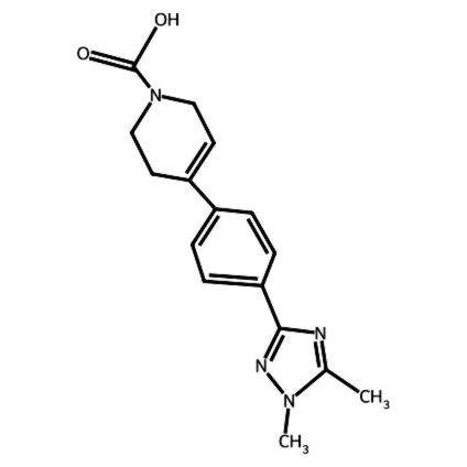 Cc1nc(-c2ccc(C3=CCN(C(=O)O)CC3)cc2)nn1C